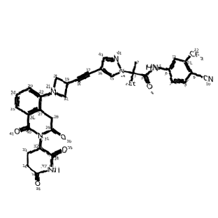 CCC(C)(C(=O)Nc1ccc(C#N)c(C(F)(F)F)c1)n1cc(C#CC2CN(c3cccc4c3CC(=O)N(C3CCC(=O)NC3=O)C4=O)C2)cn1